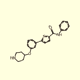 O=C(Nc1ccccc1)c1ccc(-c2cccc(OC3CCNCC3)c2)s1